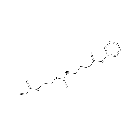 C=CC(=O)OCCOC(=O)NCCOC(=O)Oc1ccccc1